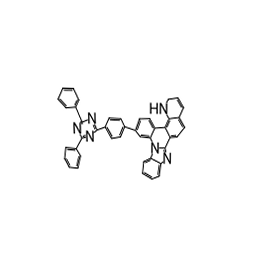 C1=Cc2ccc3c(c2NC1)c1ccc(-c2ccc(-c4nc(-c5ccccc5)nc(-c5ccccc5)n4)cc2)cc1n1c2ccccc2nc31